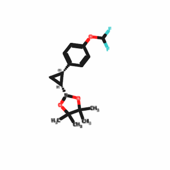 CC1(C)OB([C@@H]2C[C@@H]2c2ccc(OC(F)F)cc2)OC1(C)C